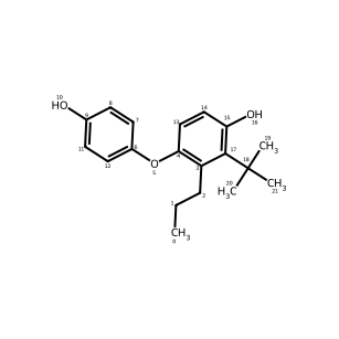 CCCc1c(Oc2ccc(O)cc2)ccc(O)c1C(C)(C)C